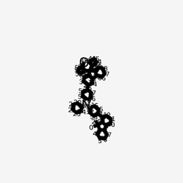 CC1(C)c2ccccc2-c2cccc(-c3ccc(N(c4ccccc4)c4ccc(-c5ccc6c(c5)-c5ccccc5C65c6ccccc6Oc6ccccc65)cc4)cc3)c21